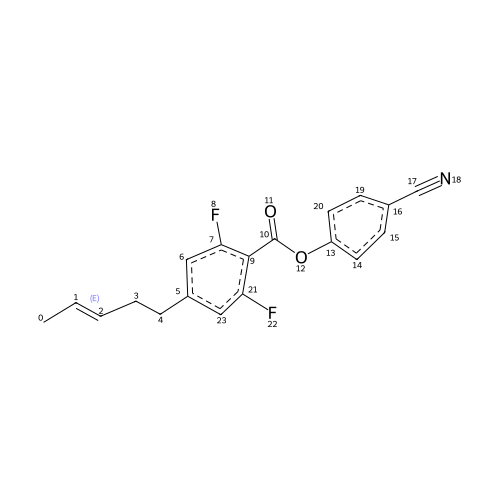 C/C=C/CCc1cc(F)c(C(=O)Oc2ccc(C#N)cc2)c(F)c1